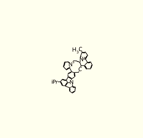 Cc1ccc2[n+](c1)C1CC[n+]3ccccc3-c3cc4c5cc(C(C)C)cc6c7ccccc7n(c4cc3CCC1c1ccccc1-2)c65